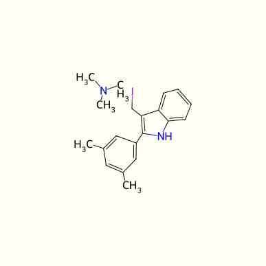 CN(C)C.Cc1cc(C)cc(-c2[nH]c3ccccc3c2CI)c1